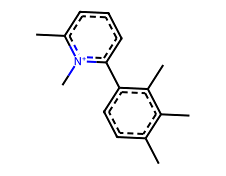 Cc1ccc(-c2cccc(C)[n+]2C)c(C)c1C